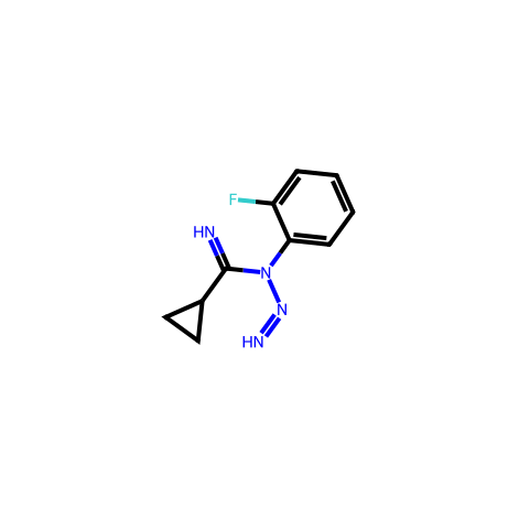 N=NN(C(=N)C1CC1)c1ccccc1F